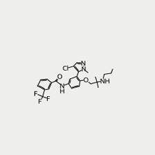 CCCNC(C)(C)COc1ccc(NC(=O)c2cccc(C(F)(F)F)c2)cc1-c1c(Cl)cnn1C